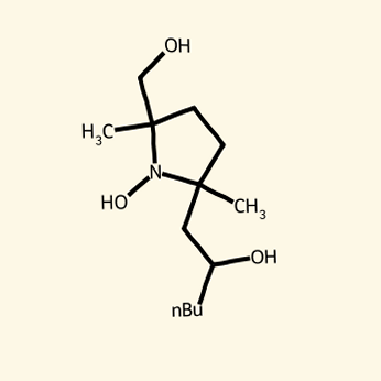 CCCCC(O)CC1(C)CCC(C)(CO)N1O